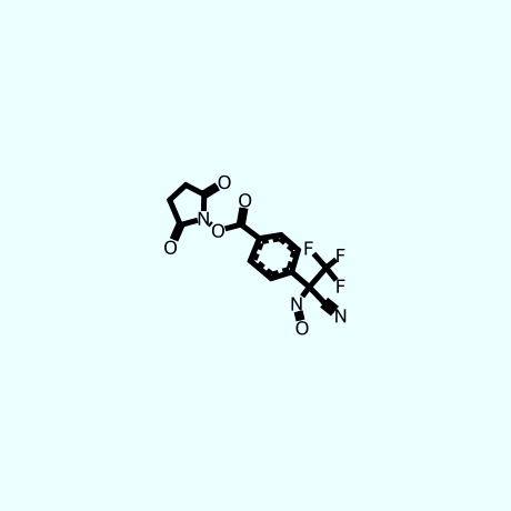 N#CC(N=O)(c1ccc(C(=O)ON2C(=O)CCC2=O)cc1)C(F)(F)F